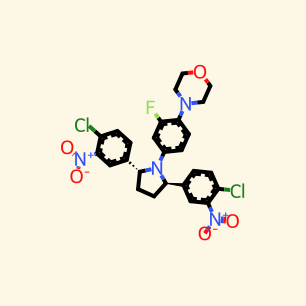 O=[N+]([O-])c1cc([C@H]2CC[C@H](c3ccc(Cl)c([N+](=O)[O-])c3)N2c2ccc(N3CCOCC3)c(F)c2)ccc1Cl